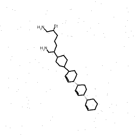 CC[C@H](CN)CCCC(CN)C1CCC(C2C=C[C@@H](C3C=C[C@@H](C4C=CCCC4)CC3)CC2)CC1